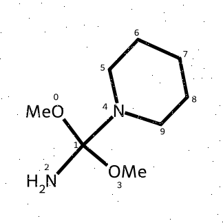 COC(N)(OC)N1CCCCC1